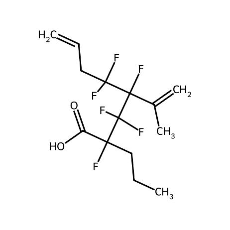 C=CCC(F)(F)C(F)(C(=C)C)C(F)(F)C(F)(CCC)C(=O)O